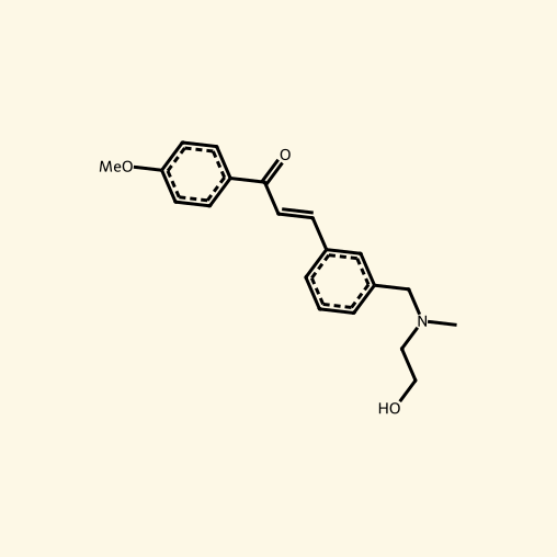 COc1ccc(C(=O)C=Cc2cccc(CN(C)CCO)c2)cc1